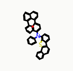 c1ccc(-c2cccc3cccc(-c4ccc(N(c5ccccc5)c5cccc6c5sc5c7ccccc7ccc65)cc4)c23)cc1